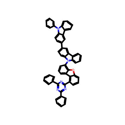 c1ccc(-c2nc(-c3ccccc3)nc(-c3cccc4oc5c(-n6c7ccccc7c7cc(-c8ccc9c(c8)c8ccccc8n9-c8ccccc8)ccc76)cccc5c34)n2)cc1